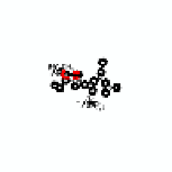 CC1(C)OB(c2ccc(-c3cc(N(c4ccc(-c5ccccc5)cc4)c4ccc5c(c4)c4ccccc4n5-c4ccccc4)ccc3-c3ccc4c5cccc(N(c6cc(B7OC(C)(C)C(C)(C)O7)cc(-c7cccc8ccccc78)c6)c6ccccc6-c6ccccc6)c5n(-c5ccccc5)c4c3)cc2)OC1(C)C